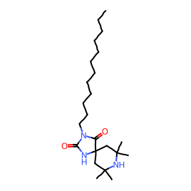 CCCCCCCCCCCCN1C(=O)NC2(CC(C)(C)NC(C)(C)C2)C1=O